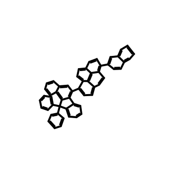 c1ccc(C2(c3ccccc3)c3ccccc3-c3c(-c4ccc5ccc6c(-c7ccc8ccccc8c7)ccc7ccc4c5c76)cc4ccccc4c32)cc1